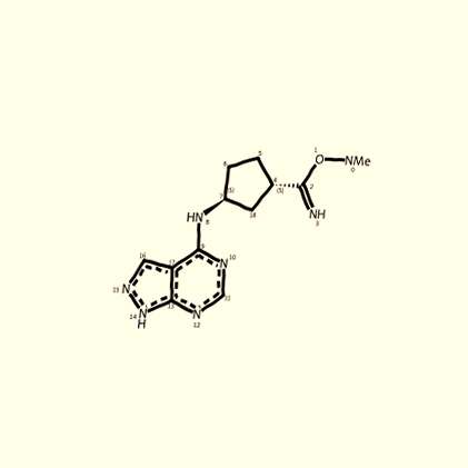 CNOC(=N)[C@H]1CC[C@H](Nc2ncnc3[nH]ncc23)C1